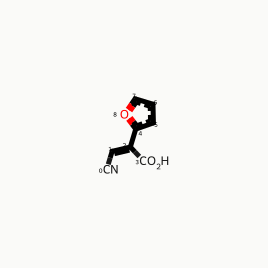 N#C/C=C(\C(=O)O)c1ccco1